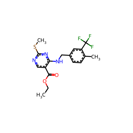 CCOC(=O)c1cnc(SC)nc1NCc1ccc(C)c(C(F)(F)F)c1